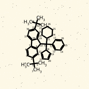 CC(C)(C)c1ccc2c(c1)C(C(c1ccccc1)(C1C=CC=C1)C1CCCCC1)c1cc(C(C)(C)C)ccc1-2